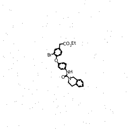 CCOC(=O)Cc1ccc(Oc2ccc(NC(=O)N3CCc4ccccc4C3)cc2)c(Br)c1